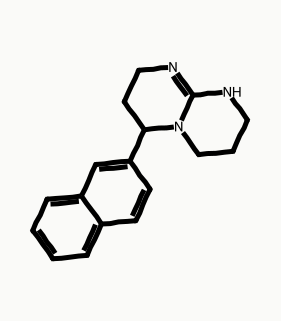 c1ccc2cc(C3CCN=C4NCCCN43)ccc2c1